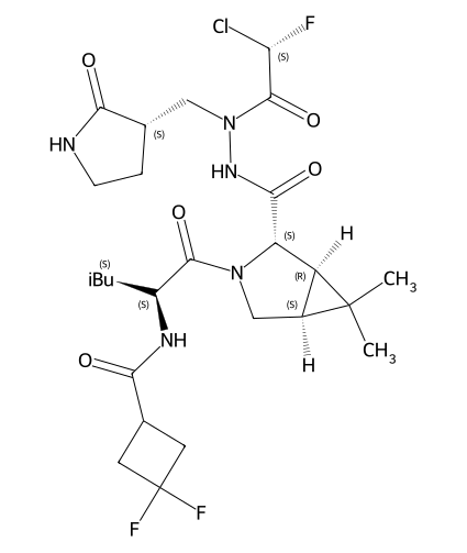 CC[C@H](C)[C@H](NC(=O)C1CC(F)(F)C1)C(=O)N1C[C@H]2[C@@H]([C@H]1C(=O)NN(C[C@@H]1CCNC1=O)C(=O)[C@@H](F)Cl)C2(C)C